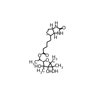 CC(OC(=O)CCCCC1SC[C@@H]2NC(=O)N[C@H]12)[C@H]1OC2(C)C(C)(O)C2(O)C1(C)O